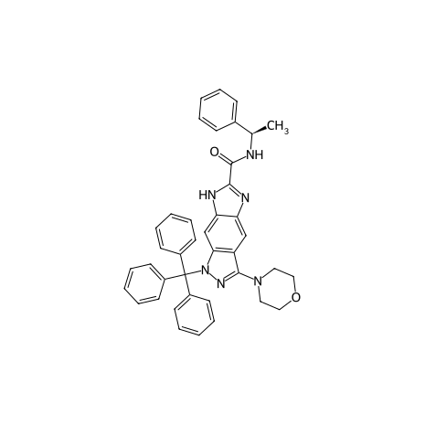 C[C@@H](NC(=O)c1nc2cc3c(N4CCOCC4)nn(C(c4ccccc4)(c4ccccc4)c4ccccc4)c3cc2[nH]1)c1ccccc1